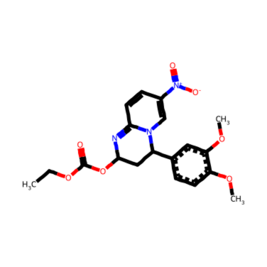 CCOC(=O)OC1CC(c2ccc(OC)c(OC)c2)N2C=C([N+](=O)[O-])C=CC2=N1